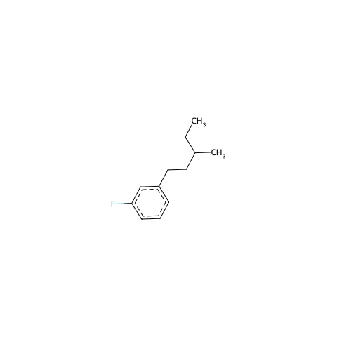 CCC(C)CCc1cccc(F)c1